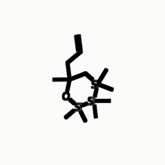 C=CCC1(C)C[Si](C)(C)[Si](C)(C)[Si](C)(C)O1